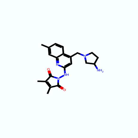 CC1=C(C)C(=O)N(Nc2cc(CN3CCC(N)C3)c3ccc(C)cc3n2)C1=O